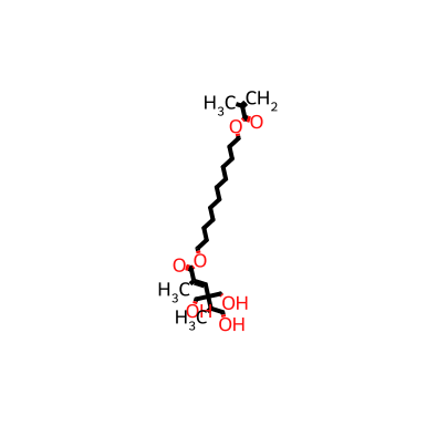 C=C(C)C(=O)OCCCCCCCCCCCCOC(=O)C(C)=CC(CO)(CO)C(C)CO